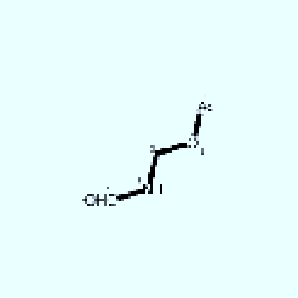 CC(=O)OCN[C]=O